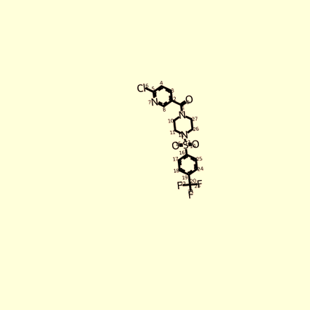 O=C(c1ccc(Cl)nc1)N1CCN(S(=O)(=O)c2ccc(C(F)(F)F)cc2)CC1